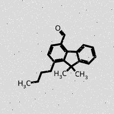 CCCCc1ccc(C=O)c2c1C(C)(C)c1ccccc1-2